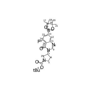 CC(C)(C)OC(=O)N1CCC(n2cnc3cc(B4OC(C)(C)C(C)(C)O4)cc(F)c3c2=O)C1